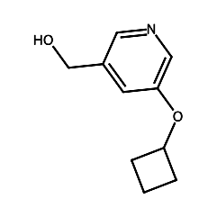 OCc1cncc(OC2CCC2)c1